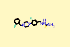 NC(=S)N/N=C/c1ccc(N2CCN(Cc3ccccc3F)CC2)c(F)c1